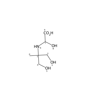 CC(CO)(CO)NC(O)C(=O)O